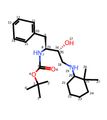 CC(C)(C)OC(=O)N[C@@H](Cc1ccccc1)[C@H](O)CNC1CCCCC1(C)C